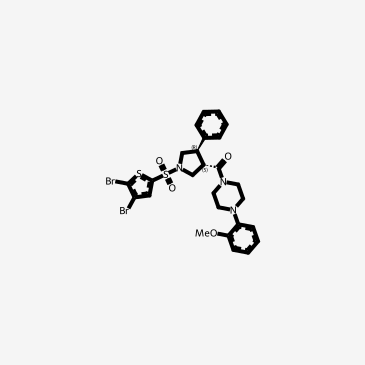 COc1ccccc1N1CCN(C(=O)[C@@H]2CN(S(=O)(=O)c3cc(Br)c(Br)s3)C[C@H]2c2ccccc2)CC1